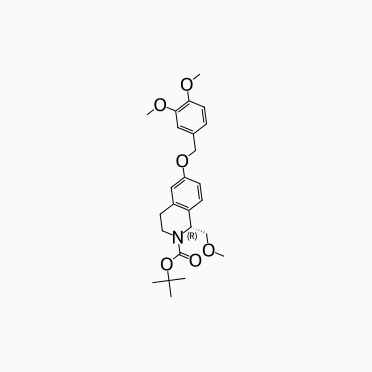 COC[C@H]1c2ccc(OCc3ccc(OC)c(OC)c3)cc2CCN1C(=O)OC(C)(C)C